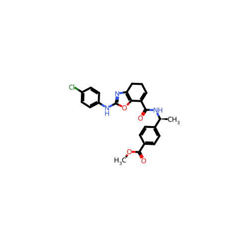 COC(=O)c1ccc([C@H](C)NC(=O)C2=CCCc3nc(Nc4ccc(Cl)cc4)oc32)cc1